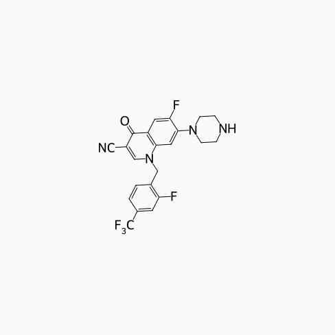 N#Cc1cn(Cc2ccc(C(F)(F)F)cc2F)c2cc(N3CCNCC3)c(F)cc2c1=O